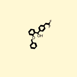 OC(c1ccc(C=C(F)F)cc1)c1ccccc1OCc1ccccc1